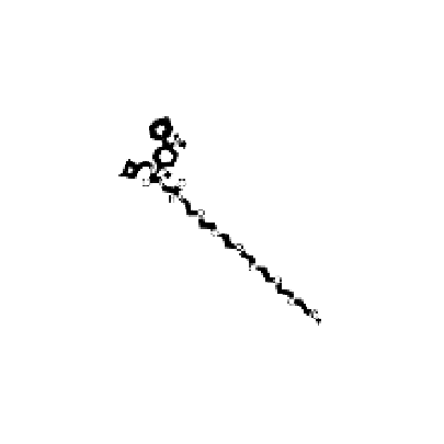 COCCOCCOCCOCCOCCOCCOCCNC(=O)CN1C[C@]2(CC[C@](c3ccccc3)(N(C)C)CC2)N(CC2CCC2)C1=O